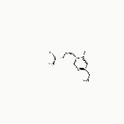 COCC1=NCN(/C=C\CC(N)O)C(C)=C1